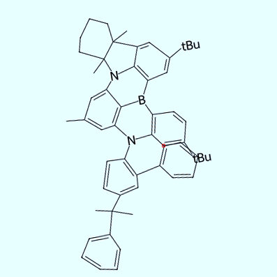 Cc1cc2c3c(c1)N1c4c(cc(C(C)(C)C)cc4C4(C)CCCCC14C)B3c1ccc(C(C)(C)C)cc1N2c1ccc(C(C)(C)c2ccccc2)cc1-c1ccccc1